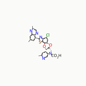 Cc1cc(-c2nc3c(Cl)cc4c(c3s2)OC[C@@H](CN(C(=O)O)c2ccc(C)nc2)O4)c2ncc(C)nc2c1